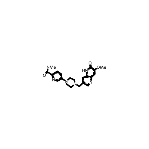 CNC(=O)c1ccc(N2CCN(Cc3cnc4cc(OC)c(=O)[nH]c4c3)CC2)cn1